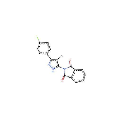 CCc1c(-c2ccc(F)cc2)n[nH]c1N1C(=O)c2ccccc2C1=O